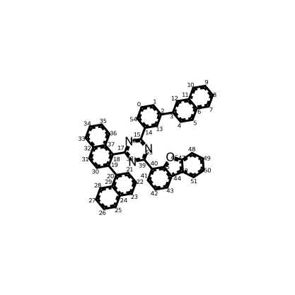 c1cc(-c2ccc3ccccc3c2)cc(-c2nc(-c3c(-c4cccc5ccccc45)ccc4ccccc34)nc(-c3cccc4c3oc3ccccc34)n2)c1